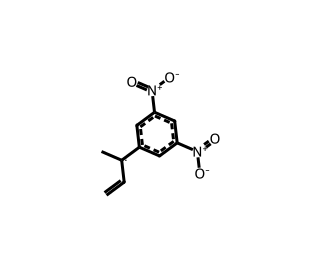 C=C[C](C)c1cc([N+](=O)[O-])cc([N+](=O)[O-])c1